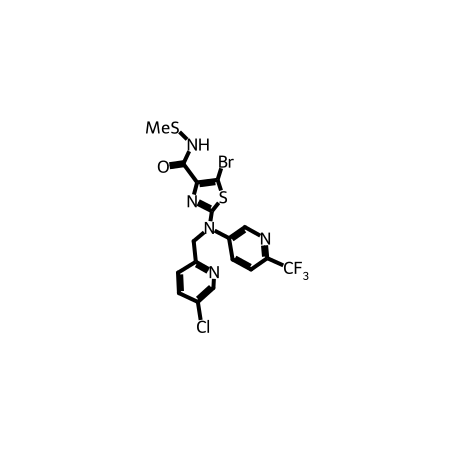 CSNC(=O)c1nc(N(Cc2ccc(Cl)cn2)c2ccc(C(F)(F)F)nc2)sc1Br